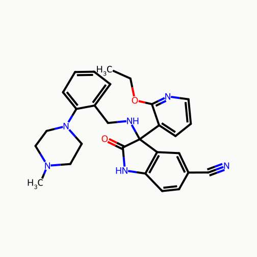 CCOc1ncccc1C1(NCc2ccccc2N2CCN(C)CC2)C(=O)Nc2ccc(C#N)cc21